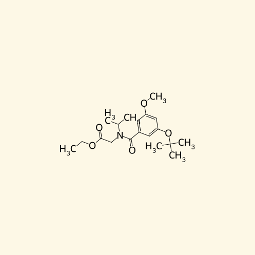 CCOC(=O)CN(C(=O)c1cc(OC)cc(OC(C)(C)C)c1)C(C)C